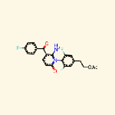 CC(=O)OCCc1cc(F)c(-n2c(N)c(C(=O)c3ccc(F)cc3)ccc2=O)c(F)c1